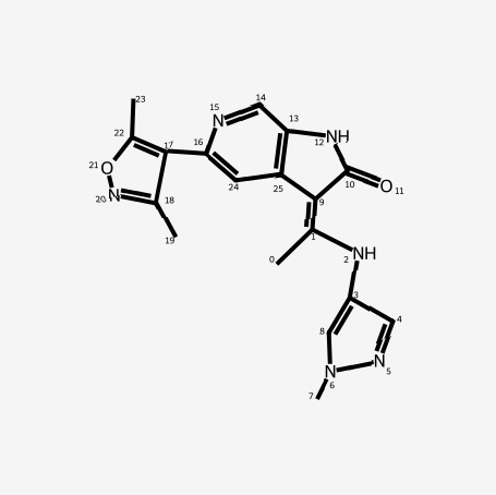 C/C(Nc1cnn(C)c1)=C1/C(=O)Nc2cnc(-c3c(C)noc3C)cc21